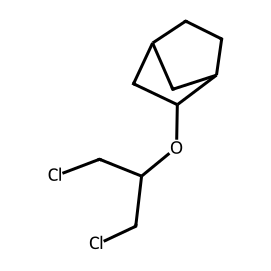 ClCC(CCl)OC1CC2CCC1C2